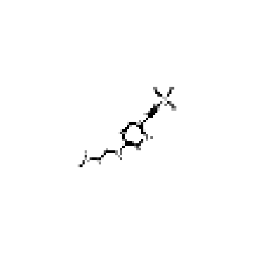 COCCOc1ccc(C#C[Si](C)(C)C)nc1